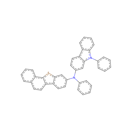 c1ccc(N(c2ccc3c(c2)sc2c4ccccc4ccc32)c2ccc3c4ccccc4n(-c4ccccc4)c3c2)cc1